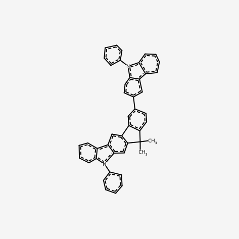 CC1(C)c2ccc(-c3ccc4c(c3)c3ccccc3n4-c3ccccc3)cc2-c2cc3c4ccccc4n(-c4ccccc4)c3cc21